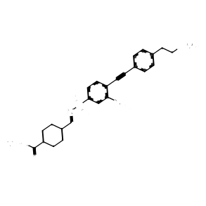 COCCc1ccc(C#Cc2ccc(S(=O)(=O)/N=C/C3CCC(C(=O)OC)CC3)cc2[N+](=O)[O-])cc1